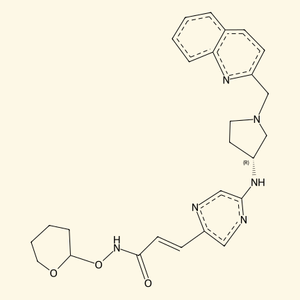 O=C(C=Cc1cnc(N[C@@H]2CCN(Cc3ccc4ccccc4n3)C2)cn1)NOC1CCCCO1